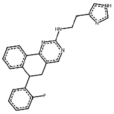 Fc1ccccc1C1Cc2cnc(NCCc3c[nH]cn3)nc2-c2ccccc21